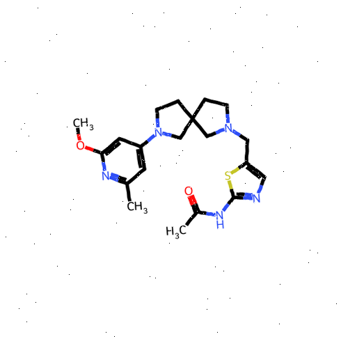 COc1cc(N2CCC3(CCN(Cc4cnc(NC(C)=O)s4)C3)C2)cc(C)n1